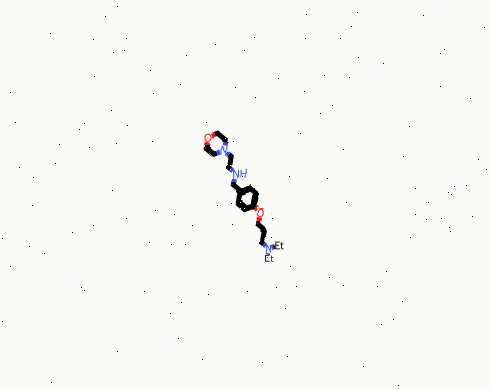 CCN(CC)CCCOc1ccc(CNCCN2CCOCC2)cc1